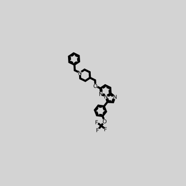 FC(F)(F)Oc1cccc(-c2cnc3ccc(OCC4CCN(Cc5ccccc5)CC4)nn23)c1